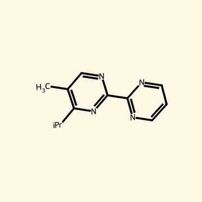 Cc1cnc(-c2ncccn2)nc1C(C)C